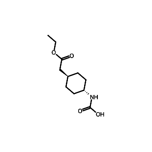 CCOC(=O)C[C@H]1CC[C@H](NC(=O)O)CC1